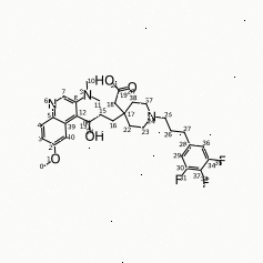 COc1ccc2ncc(N(C)C)c([C@H](O)CCC3(CC(=O)O)CCN(CCCc4cc(F)c(F)c(F)c4)CC3)c2c1